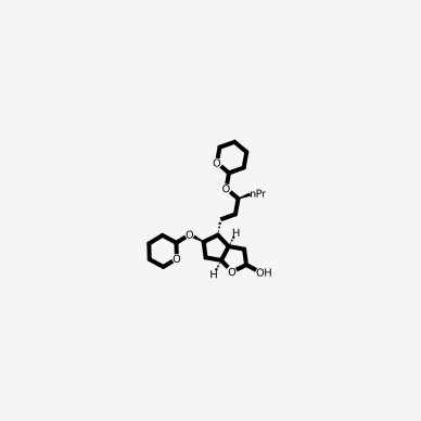 CCC[C@@H](CC[C@@H]1[C@H]2CC(O)O[C@H]2C[C@H]1OC1CCCCO1)OC1CCCCO1